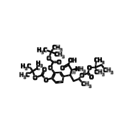 CCC(C)(C)OC(=O)OC(C)CC(c1ccc(OC(=O)OC(C)(C)C)c(OC(=O)OC(C)(C)C)c1)[C@H](N)C(=O)O